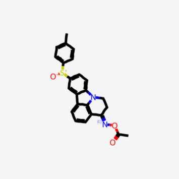 CC(=O)O/N=C1\CCn2c3ccc([S+]([O-])c4ccc(C)cc4)cc3c3cccc1c32